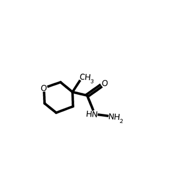 CC1(C(=O)NN)CCCOC1